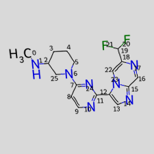 CNC1CCCN(c2ccnc(-c3cnc4cnc(C(F)F)cn34)n2)C1